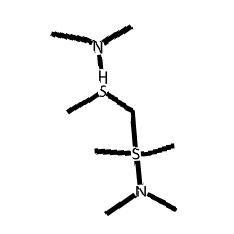 CN(C)[SH](C)CS(C)(C)N(C)C